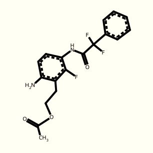 CC(=O)OCCc1c(N)ccc(NC(=O)C(F)(F)c2ccccc2)c1F